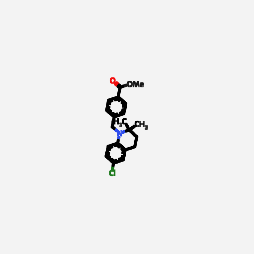 COC(=O)c1ccc(CN2c3ccc(Cl)cc3CCC2(C)C)cc1